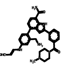 CN1CCN(C(=O)c2cccc(-c3cc4c(-c5ccc(NC=CC=O)cc5CN)ccc(C(N)=O)c4[nH]3)c2)CC1